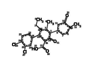 CCn1c(C)c(-c2ccn(C)c(=O)c2)c(=O)c(C(=O)O)c1-c1ccc(Cl)c(Cl)c1